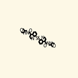 O=C(NCC1CCOC1)c1ccnc2c(SSc3cccc4c(C(=O)NCC5CCOC5)ccnc34)cccc12